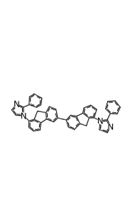 c1ccc(-c2nccn2-c2cccc3c2Cc2ccc(-c4ccc5c(c4)-c4cccc(-n6ccnc6-c6ccccc6)c4C5)cc2-3)cc1